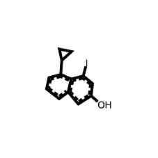 Oc1cc(I)c2c(C3CC3)cccc2c1